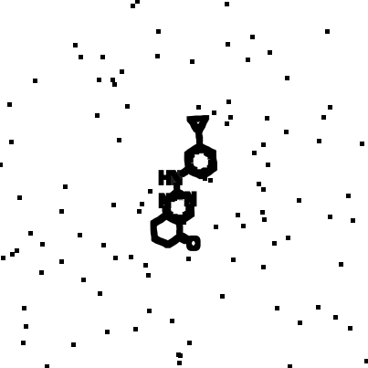 O=C1CCCc2nc(Nc3cccc(C4CC4)c3)ncc21